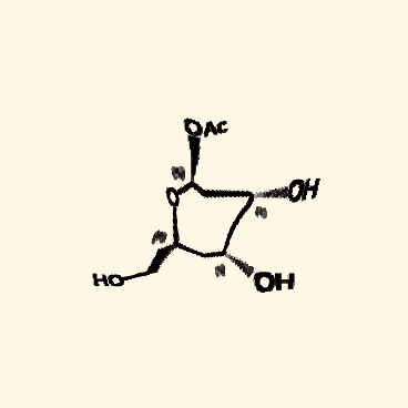 CC(=O)O[C@@H]1O[C@H](CO)[C@@H](O)[C@H]1O